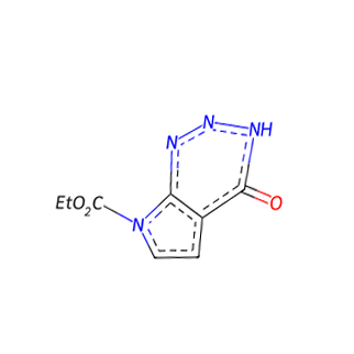 CCOC(=O)n1ccc2c(=O)[nH]nnc21